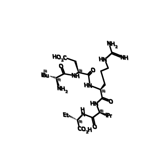 CC[C@H](NC(=O)[C@@H](NC(=O)[C@H](CCCNC(=N)N)NC(=O)[C@H](CC(=O)O)NC(=O)[C@@H](N)[C@@H](C)CC)C(C)C)C(=O)O